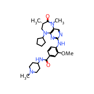 COc1cc(C(=O)NC2CCN(C)CC2)ccc1Nc1ncc2c(n1)N(C1CCCC1)C[C@H](C)C(=O)N2C